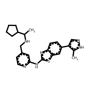 Cc1[nH]ncc1-c1ccc2nc(Nc3cc(CNC(C)C4CCCC4)ccn3)sc2c1